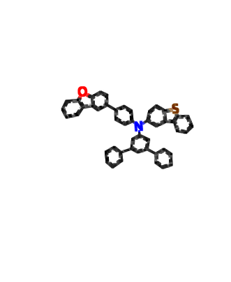 c1ccc(-c2cc(-c3ccccc3)cc(N(c3ccc(-c4ccc5oc6ccccc6c5c4)cc3)c3ccc4sc5ccccc5c4c3)c2)cc1